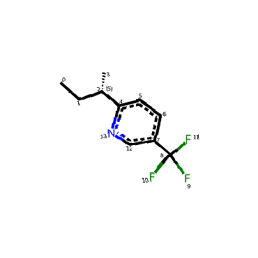 CC[C@H](C)c1ccc(C(F)(F)F)cn1